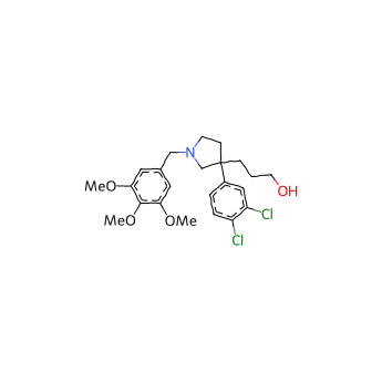 COc1cc(CN2CCC(CCCO)(c3ccc(Cl)c(Cl)c3)C2)cc(OC)c1OC